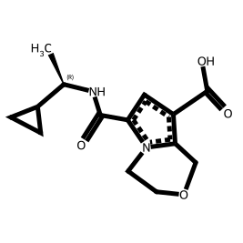 C[C@@H](NC(=O)c1cc(C(=O)O)c2n1CCOC2)C1CC1